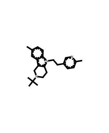 Cc1ccc2c(c1)c1c(n2CCc2ccc(C)nc2)CCN(C(C)(C)C)C1